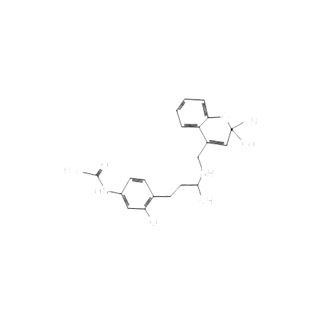 CC(=O)Nc1ccc(CCC(C)NCC2=CC(C)(C)Oc3ccccc32)c(Cl)c1